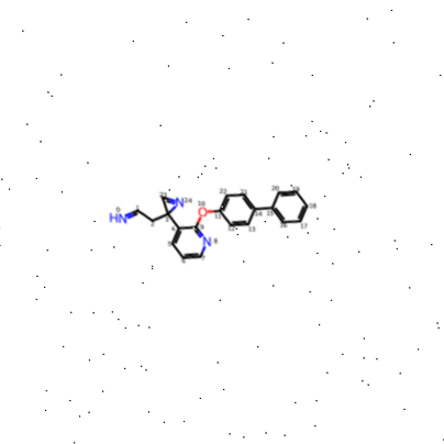 N=CCC1(c2cccnc2Oc2ccc(-c3ccccc3)cc2)C=N1